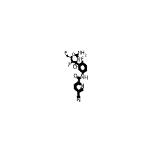 C[C@]1(c2cc(NC(=O)c3ccc(C#N)cn3)ccc2F)N=C(N)O[C@H](CF)[C@@H]1F